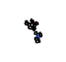 c1ccc(C23c4ccccc4-c4cccc(c42)C2(c4ccccc4-c4cc(-c5ccc6c(c5)c5ccccc5n6-c5ccc6ccccc6c5)ccc42)c2ccccc23)cc1